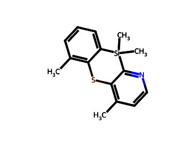 Cc1cccc2c1Sc1c(C)ccnc1[Si]2(C)C